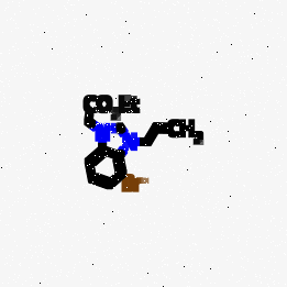 C=CCn1c[n+](CC(=O)OCC)c2ccccc21.[Br-]